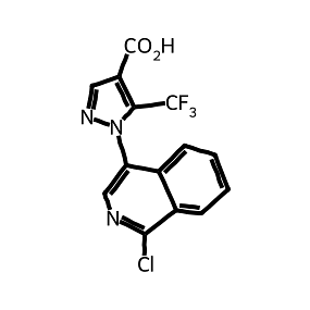 O=C(O)c1cnn(-c2cnc(Cl)c3ccccc23)c1C(F)(F)F